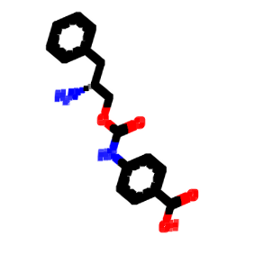 N[C@@H](COC(=O)Nc1ccc(C(=O)O)cc1)Cc1ccccc1